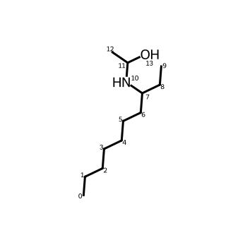 CCCCCCCC(CC)NC(C)O